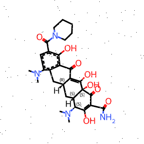 CN(C)c1cc(C(=O)N2CCCCC2)c(O)c2c1C[C@H]1C[C@H]3[C@H](N(C)C)C(O)=C(C(N)=O)C(=O)[C@@]3(O)C(O)=C1C2=O